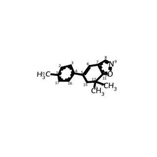 Cc1ccc(C2=Cc3cnoc3C(C)(C)C2)cc1